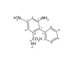 Nc1cc(N)c(-c2ccccc2)c(C(=O)O)c1.[KH]